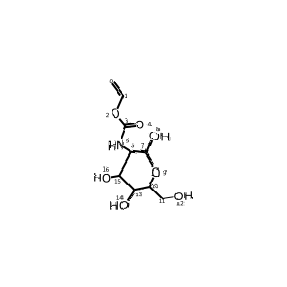 C=COC(=O)NC1C(O)OC(CO)C(O)C1O